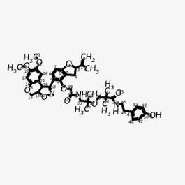 C=C(C)C1Cc2c(ccc(C3=NOC4COc5cc(OC)c(OC)cc5C34)c2OCC(=O)NCC(C)(C)OCC(C)(C)C(=O)NCCc2ccc(O)cc2)O1